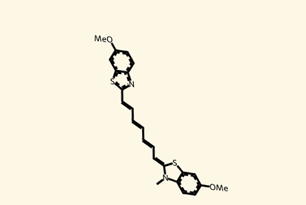 COc1ccc2c(c1)S\C(=C/C=C/C=C/C=C/c1nc3ccc(OC)cc3s1)N2C